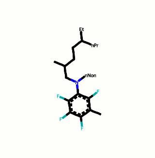 CCCCCCCCCN(CC(C)CCC(CC)CCC)c1c(F)c(C)c(F)c(F)c1F